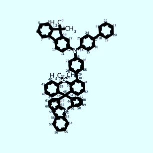 CC1(C)c2ccccc2-c2ccc(N(c3ccc(-c4ccccc4)cc3)c3ccc(-c4cccc5c4S(C)(C)c4ccccc4C54c5ccccc5-n5c6ccccc6c6cccc4c65)cc3)cc21